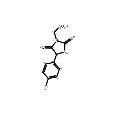 O=C(O)CN1C(=O)C(c2ccc(Cl)cc2)SC1=S